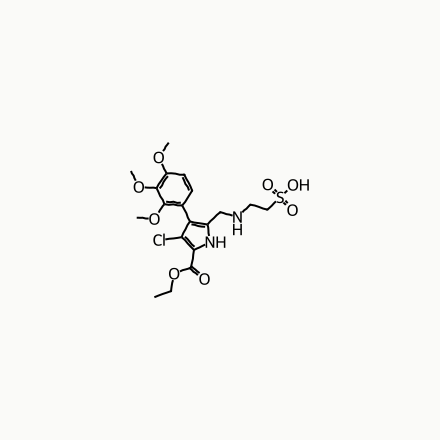 CCOC(=O)c1[nH]c(CNCCS(=O)(=O)O)c(-c2ccc(OC)c(OC)c2OC)c1Cl